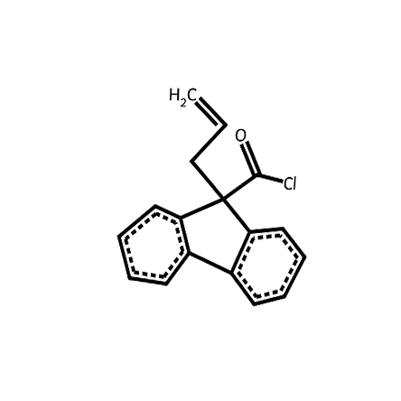 C=CCC1(C(=O)Cl)c2ccccc2-c2ccccc21